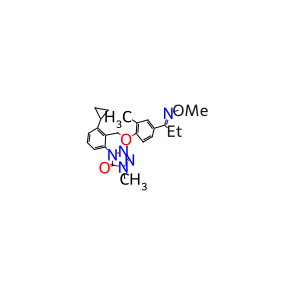 CCC(=NOC)c1ccc(OCc2c(C3CC3)cccc2-n2nnn(C)c2=O)c(C)c1